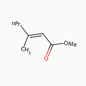 CCCC(C)=CC(=O)OC